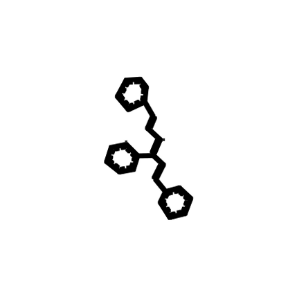 [C](C=Cc1ccccc1)=C(C=Cc1ccccc1)c1[c]cccc1